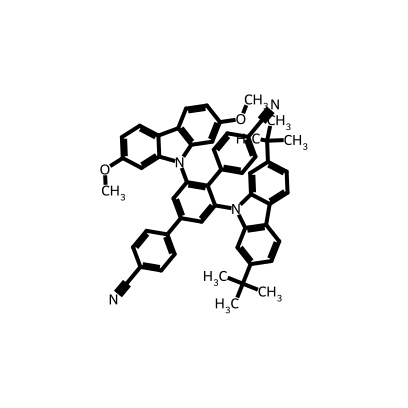 COc1ccc2c3ccc(OC)cc3n(-c3cc(-c4ccc(C#N)cc4)cc(-n4c5cc(C(C)(C)C)ccc5c5ccc(C(C)(C)C)cc54)c3-c3ccc(C#N)cc3)c2c1